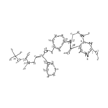 COc1ncc2c(n1)N(C)CCN(c1cccc(CO[C@H](CCN(C)C(=O)OC(C)(C)C)c3ccccc3)c1)C2=O